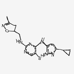 CC1=NOC(CNc2ncc(Br)c(Nc3cc(C4CC4)n[nH]3)n2)C1